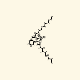 CCCCCCCCCCCC1=Cc2ccccc2C(Cl)(CCCCCCCCCCC)C1S(=O)(=O)O